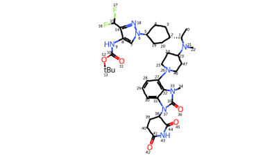 CC([C@H]1CC[C@H](n2cc(NC(=O)OC(C)(C)C)c(C(F)F)n2)CC1)N(C)C1CCN(c2cccc3c2n(C)c(=O)n3C2CCC(=O)NC2=O)CC1